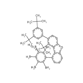 Bc1c(B)c(B)c(-c2cccc3oc4ccc(-c5cc(C(C)(C)C)cc(C(C)(C)C)c5)c(C(C)(C)C)c4c23)c(B)c1B